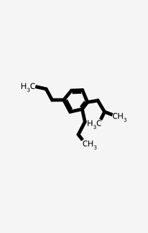 CCCc1ccc([CH]C(C)C)c(CCC)c1